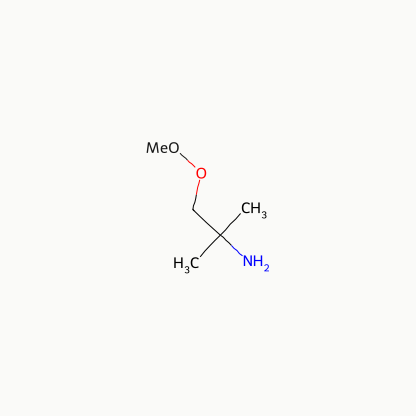 COOCC(C)(C)N